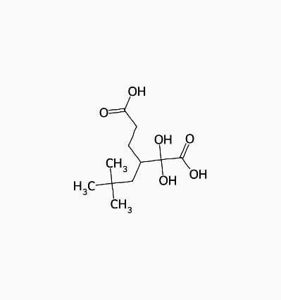 CC(C)(C)CC(CCC(=O)O)C(O)(O)C(=O)O